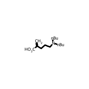 C=C(CCCN(CCCC)CCCC)C(=O)O